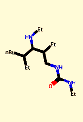 CCCCC(CC)C(NCC)C(CC)CNC(=O)NCC